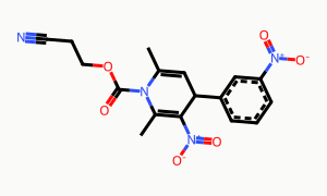 CC1=CC(c2cccc([N+](=O)[O-])c2)C([N+](=O)[O-])=C(C)N1C(=O)OCCC#N